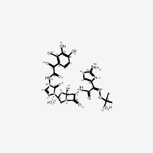 CC(C)(O/N=C(\C(=O)N[C@@H]1C(=O)N2C[C@@](C(=O)O)(n3ncn(NC(=O)C(=O)c4ccc(O)c(O)c4Cl)c3=O)S[C@H]12)c1csc(N)n1)C(=O)O